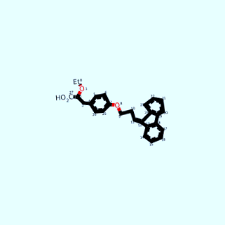 CCOC(Cc1ccc(OCCC=C2c3ccccc3-c3ccccc32)cc1)C(=O)O